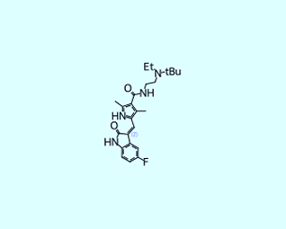 CCN(CCNC(=O)c1c(C)[nH]c(/C=C2\C(=O)Nc3ccc(F)cc32)c1C)C(C)(C)C